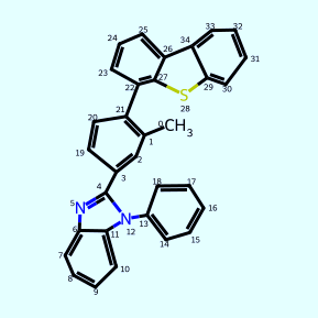 Cc1cc(-c2nc3ccccc3n2-c2ccccc2)ccc1-c1cccc2c1sc1ccccc12